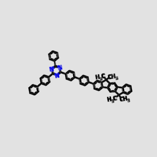 CC1(C)c2ccccc2-c2cc3c(cc21)-c1ccc(-c2ccc(-c4ccc(-c5nc(-c6ccccc6)nc(-c6ccc(-c7ccccc7)cc6)n5)cc4)cc2)cc1C3(C)C